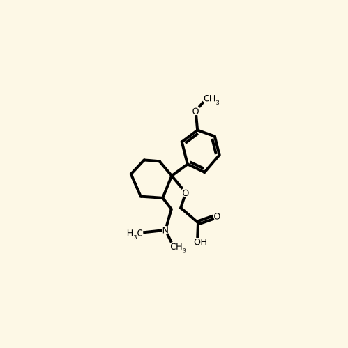 COc1cccc(C2(OCC(=O)O)CCCCC2CN(C)C)c1